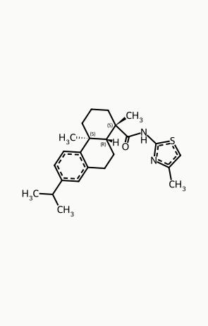 Cc1csc(NC(=O)[C@@]2(C)CCC[C@]3(C)c4ccc(C(C)C)cc4CC[C@@H]23)n1